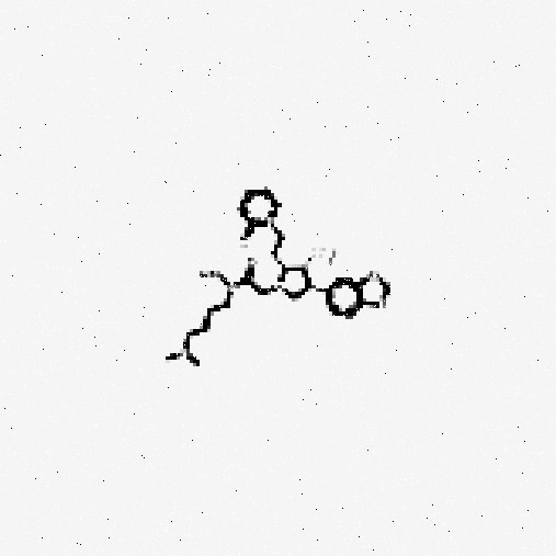 CCCCN(CCCCN(C)C)C(=O)CN1C[C@H](c2ccc3c(c2)OCO3)[C@@H](C(=O)O)[C@@H]1CCn1ccccc1=O